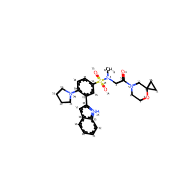 CN(CC(=O)N1CCOC2(CC2)C1)S(=O)(=O)c1ccc(N2CCCC2)c(-c2cc3ccccc3[nH]2)c1